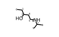 CCC(O)CCNC(C)C